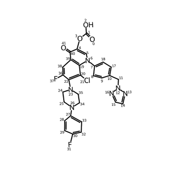 O=C(O)Oc1cn(-c2ccc(Cn3nccn3)cc2)c2c(Cl)c(N3CCN(c4ccc(F)cc4)CC3)c(F)cc2c1=O